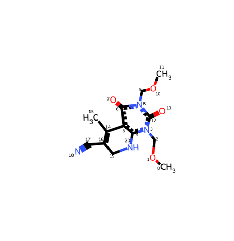 COCn1c2c(c(=O)n(COC)c1=O)C(C)=C(C#N)CN2